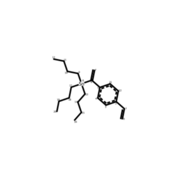 C=Cc1ccc([C](=C)[Sn]([CH2]CCC)([CH2]CCC)[CH2]CCC)cc1